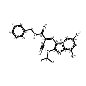 CC(C)Oc1nc2c(Cl)cc(Cl)cn2c1C=C(C#N)C(=O)OCc1ccccc1